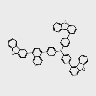 c1ccc2c(c1)oc1ccc(-c3ccc(-c4ccc(N(c5ccc(-c6cccc7oc8ccccc8c67)cc5)c5ccc(-c6cccc7sc8ccccc8c67)cc5)cc4)c4ccccc34)cc12